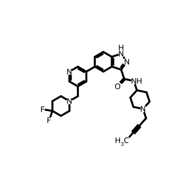 CC#CCN1CCC(NC(=O)c2n[nH]c3ccc(-c4cncc(CN5CCC(F)(F)CC5)c4)cc23)CC1